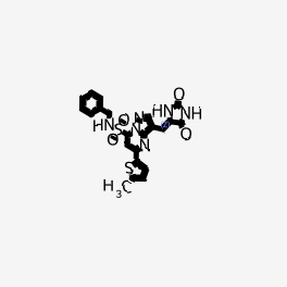 Cc1ccc(-c2cc(S(=O)(=O)NCc3ccccc3)n3ncc(/C=C4\NC(=O)NC4=O)c3n2)s1